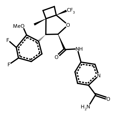 COc1c([C@H]2[C@H](C(=O)Nc3ccc(C(N)=O)nc3)O[C@@]3(C(F)(F)F)CC[C@@]23C)ccc(F)c1F